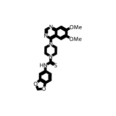 COc1cc2ncnc(N3CCN(C(=S)Nc4ccc5c(c4)OCO5)CC3)c2cc1OC